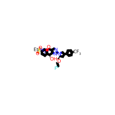 CCS(=O)(=O)c1ccc([C@@H](CO)c2nc(N3CC(c4ccc(C(F)(F)F)cc4)C[C@H]3COCCF)ncc2C(N)=O)cc1